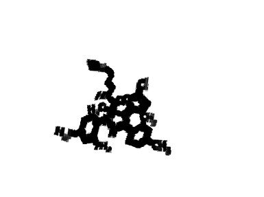 Cc1ccc(C2=NN(c3ccc(P)cc3P)C(C)(C(=O)NCCCC(C)(C)C)C2c2ccc(Cl)o2)c(C)c1